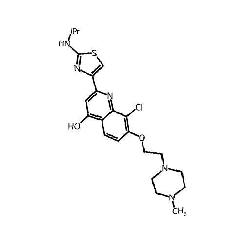 CC(C)Nc1nc(-c2cc(O)c3ccc(OCCN4CCN(C)CC4)c(Cl)c3n2)cs1